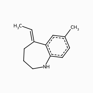 CC=C1CCCNc2ccc(C)cc21